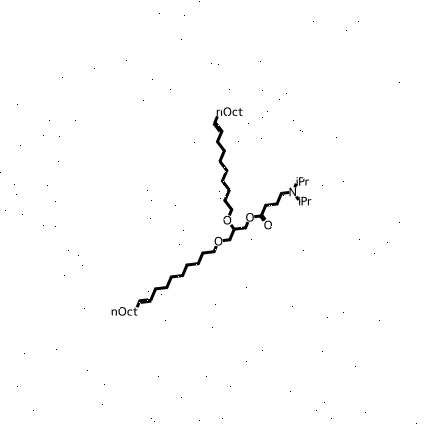 CCCCCCCCC=CCCCCCCCCOCC(COC(=O)CCCN(C(C)C)C(C)C)OCCCCCCCCC=CCCCCCCCC